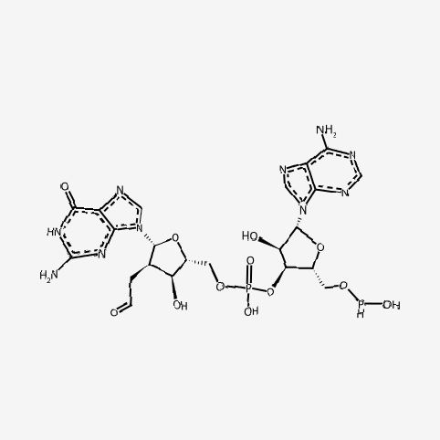 Nc1nc2c(ncn2[C@@H]2O[C@H](COP(=O)(O)O[C@H]3[C@@H](O)[C@H](n4cnc5c(N)ncnc54)O[C@@H]3COPO)[C@@H](O)[C@H]2CC=O)c(=O)[nH]1